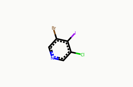 Clc1cncc(Br)c1I